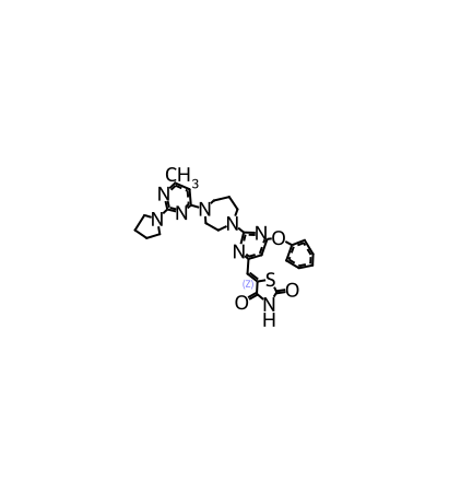 Cc1cc(N2CCCN(c3nc(/C=C4\SC(=O)NC4=O)cc(Oc4ccccc4)n3)CC2)nc(N2CCCC2)n1